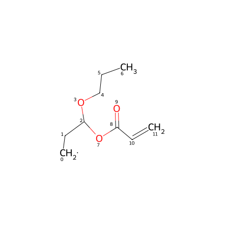 [CH2]CC(OCCC)OC(=O)C=C